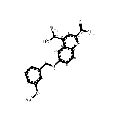 COc1cccc(COc2ccc3nc(C(C)=O)cc(C(C)O)c3c2)c1